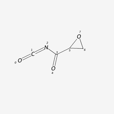 O=C=NC(=O)C1CO1